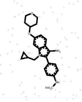 CCOC(=O)Nc1ccc(-c2c(N)c3ccc(OC4CCOCC4)cc3n2CC2CC2)cc1